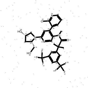 CN(C(=O)C(C)(C)c1cc(C(F)(F)F)cc(C(F)(F)F)c1)c1cnc(N2C[C@@H](O)C[C@H]2CO)cc1-c1cccnc1Cl